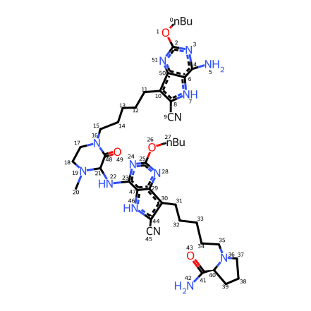 CCCCOc1nc(N)c2[nH]c(C#N)c(CCCCCN3CCN(C)C(Nc4nc(OCCCC)nc5c(CCCCCN6CCC[C@H]6C(N)=O)c(C#N)[nH]c45)C3=O)c2n1